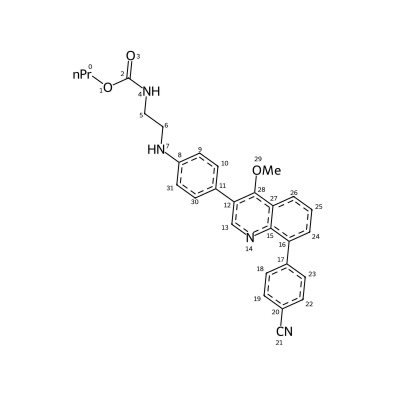 CCCOC(=O)NCCNc1ccc(-c2cnc3c(-c4ccc(C#N)cc4)cccc3c2OC)cc1